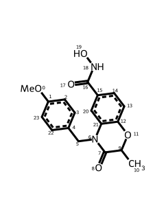 COc1ccc(CN2C(=O)C(C)Oc3ccc(C(=O)NO)cc32)cc1